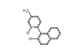 Cc1ccc(-c2c(Cl)ccc3ccccc23)[n+]([O-])c1